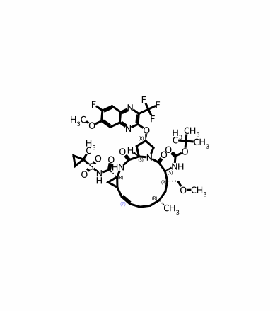 COC[C@@H]1C[C@H](C)CC/C=C\C2C[C@@]2(C(=O)NS(=O)(=O)C2(C)CC2)NC(=O)[C@@H]2C[C@@H](Oc3nc4cc(OC)c(F)cc4nc3C(F)(F)F)CN2C(=O)[C@H]1NC(=O)OC(C)(C)C